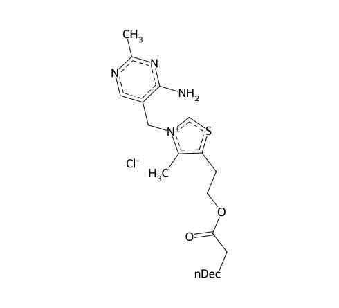 CCCCCCCCCCCC(=O)OCCc1sc[n+](Cc2cnc(C)nc2N)c1C.[Cl-]